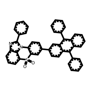 O=S1(=O)c2cc(-c3ccc4c(-c5ccccc5)c5ccccc5c(-c5ccccc5)c4c3)ccc2-n2c(-c3ccccc3)nc3cccc1c32